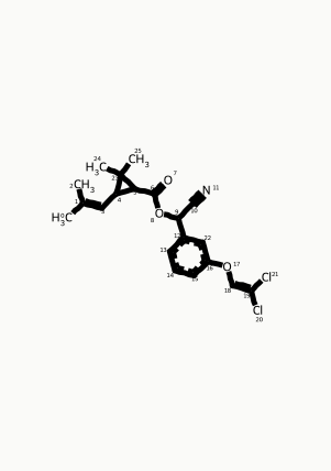 CC(C)=CC1C(C(=O)OC(C#N)c2cccc(OC=C(Cl)Cl)c2)C1(C)C